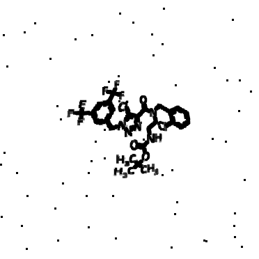 CC(C)(C)OC(=O)NCCN(Cc1ccccc1Cl)C(=O)c1nnn(Cc2cc(C(F)(F)F)cc(C(F)(F)F)c2)c1Cl